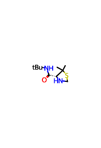 CC(C)(C)NC(=O)[C@H]1NCSC1(C)C